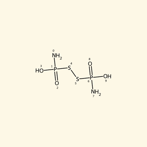 NP(=O)(O)SSP(N)(=O)O